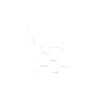 CCOC(=O)c1cc(-c2cc(Cl)ccc2C(=O)O)n(C2CC2)c1